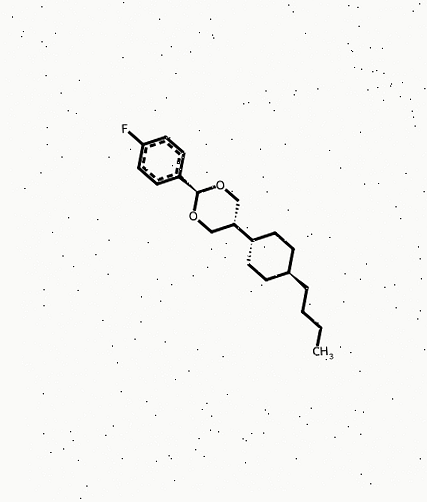 CCCC[C@H]1CC[C@H]([C@H]2CO[C@H](c3ccc(F)cc3)OC2)CC1